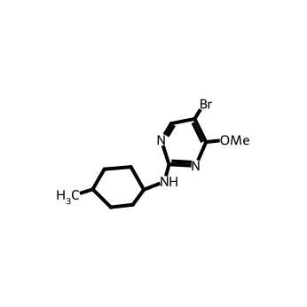 COc1nc(NC2CCC(C)CC2)ncc1Br